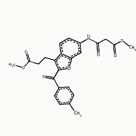 COC(=O)CCc1c(C(=O)c2ccc(C)cc2)oc2cc(NC(=O)CC(=O)OC)ccc12